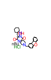 CCCCN1C(=O)[C@@H](CC2(O)CCCCC2)NC(=O)C12CCN(Cc1ccc3oc4ccccc4c3c1)CC2.Cl